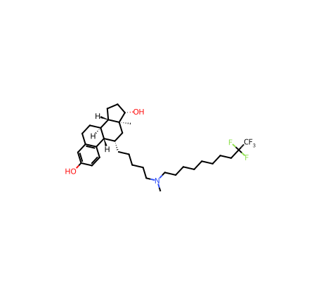 CN(CCCCCCCCC(F)(F)C(F)(F)F)CCCCC[C@H]1C[C@]2(C)[C@@H](O)CC[C@H]2[C@@H]2CCc3cc(O)ccc3[C@@H]12